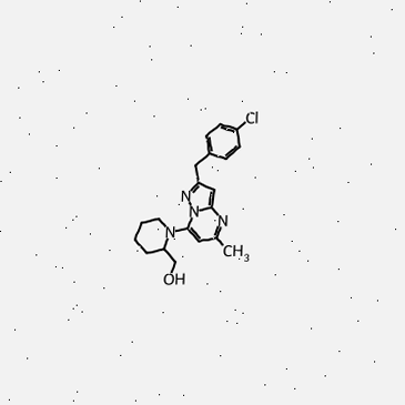 Cc1cc(N2CCCCC2CO)n2nc(Cc3ccc(Cl)cc3)cc2n1